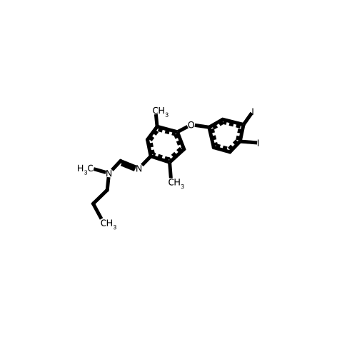 CCCN(C)C=Nc1cc(C)c(Oc2ccc(I)c(I)c2)cc1C